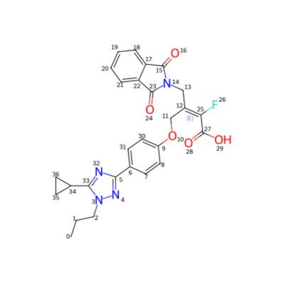 CCCn1nc(-c2ccc(OC/C(CN3C(=O)c4ccccc4C3=O)=C(/F)C(=O)O)cc2)nc1C1CC1